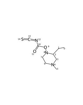 CCC1CN(C)CCN1OC(=O)N=C=S